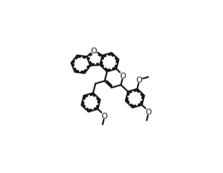 COc1cccc(CC2=CC(c3ccc(OC)cc3OC)Oc3ccc4oc5ccccc5c4c32)c1